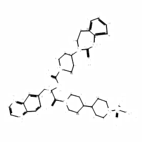 NS(=O)(=O)N1CCC(C2CCN(C(=O)[C@@H](Cc3ccc4nccnc4c3)OC(=O)N3CCC(N4CCc5ccccc5NC4=O)CC3)CC2)CC1